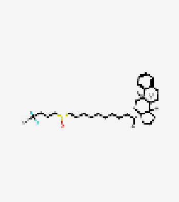 [2H]C(CCCCCCCCC[S+]([O-])CCCC(F)(F)C(F)(F)F)[C@@]12CCC[C@H]1[C@@H]1CCc3ccccc3[C@H]1CC2